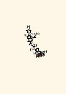 C=C(OCC(=O)Nc1ccc(CC(P(=O)(O)O)P(=O)(O)O)cc1)C1=CN(C2CC2)c2c(cc(F)c(N3CCNC(C)C3)c2OC)C1=C